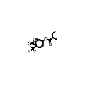 CCC(C)C(=O)OC1CCC2(C(F)(F)F)CC1OC2=O